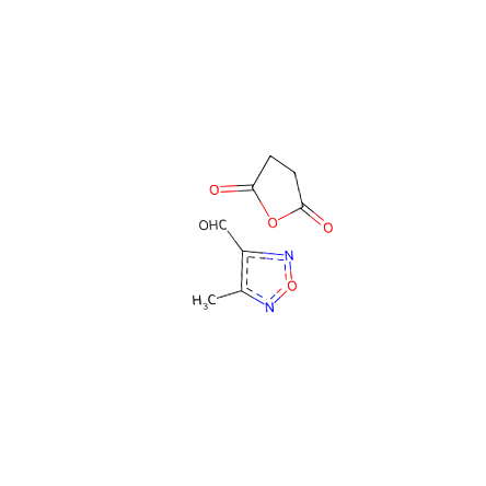 Cc1nonc1C=O.O=C1CCC(=O)O1